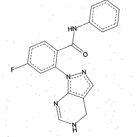 O=C(Nc1ccccc1)c1ccc(F)cc1-n1ncc2c1N=CNC2